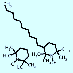 CC1(C)CCCC(C)(C)N1[O].CCCCCCCCCCC1CCC(C)(C)N([O])C1(C)C